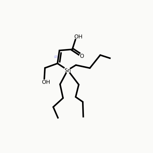 CCC[CH2][Sn]([CH2]CCC)([CH2]CCC)/[C](=C\C(=O)O)CO